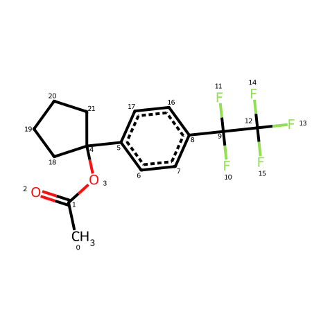 CC(=O)OC1(c2ccc(C(F)(F)C(F)(F)F)cc2)CCCC1